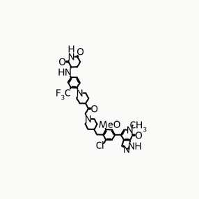 COc1cc(-c2cn(C)c(=O)c3[nH]ncc23)cc(Cl)c1CC1CCN(CC(=O)C2CCN(c3ccc(NC4CCC(=O)NC4=O)cc3C(F)(F)F)CC2)CC1